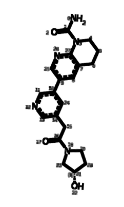 NC(=O)N1CCCc2cc(-c3cncc(CC(=O)N4CC[C@H](O)C4)c3)cnc21